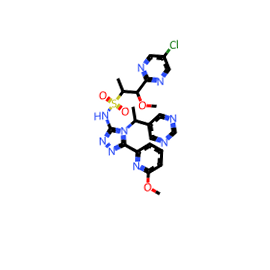 COc1cccc(-c2nnc(NS(=O)(=O)C(C)C(OC)c3ncc(Cl)cn3)n2C(C)c2cncnc2)n1